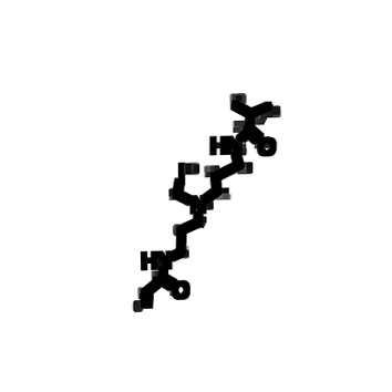 C=CC(=O)NCCCN(CI)CCCNC(=O)C(C)C